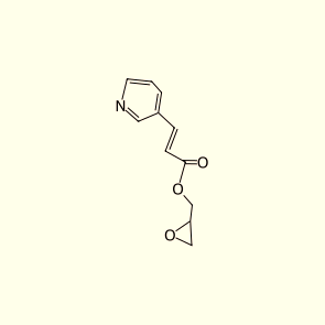 O=C(C=Cc1cccnc1)OCC1CO1